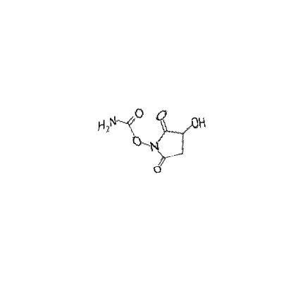 NC(=O)ON1C(=O)CC(O)C1=O